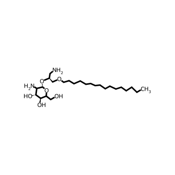 CCCCCCCCCCCCCCCCOC[C@H](CN)O[C@@H]1OC(CO)[C@@H](O)[C@H](O)C1N